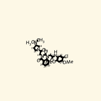 COc1cc(OC)c(NC(=O)Cn2c(=O)n(CC(=O)N3CC[C@H](N(C)C)C3)c(=O)c3ccccc32)cc1Cl